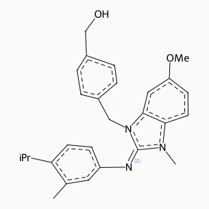 COc1ccc2c(c1)n(Cc1ccc(CO)cc1)/c(=N\c1ccc(C(C)C)c(C)c1)n2C